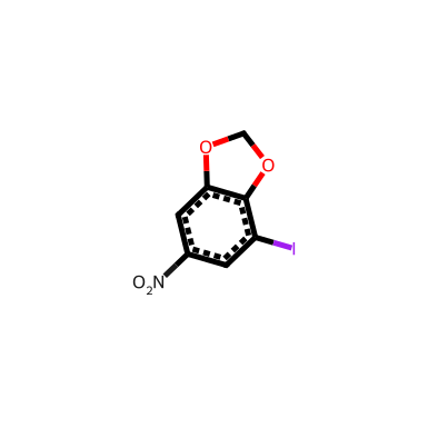 O=[N+]([O-])c1cc(I)c2c(c1)OCO2